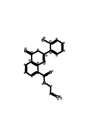 C=CCOC(=O)c1cccc2c1N=C(c1ccccc1Cl)CC2=O